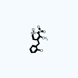 CC1=C(Cc2ccccc2Cl)C=C[NH+]([O-])C1=S(=O)=O